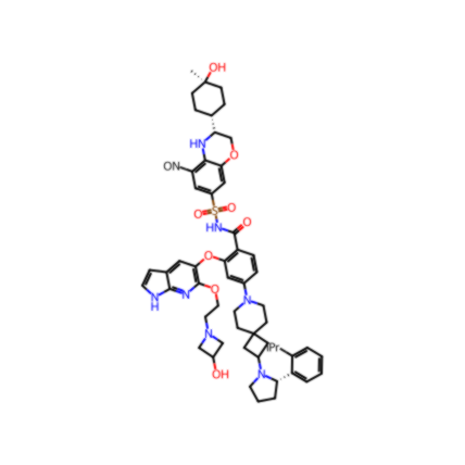 CC(C)c1ccccc1[C@@H]1CCCN1C1CC2(CCN(c3ccc(C(=O)NS(=O)(=O)c4cc(N=O)c5c(c4)OCC([C@H]4CC[C@](C)(O)CC4)N5)c(Oc4cc5cc[nH]c5nc4OCCN4CC(O)C4)c3)CC2)C1